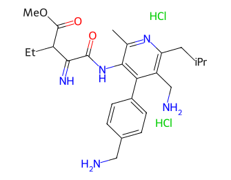 CCC(C(=N)C(=O)Nc1c(C)nc(CC(C)C)c(CN)c1-c1ccc(CN)cc1)C(=O)OC.Cl.Cl